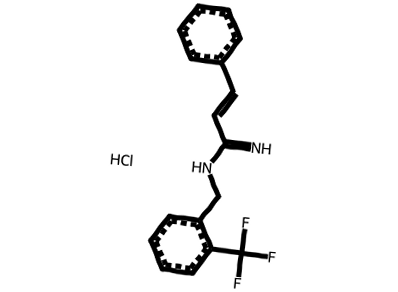 Cl.N=C(/C=C/c1ccccc1)NCc1ccccc1C(F)(F)F